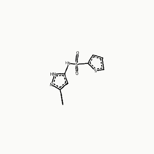 Cc1cc(NS(=O)(=O)c2cccs2)[nH]n1